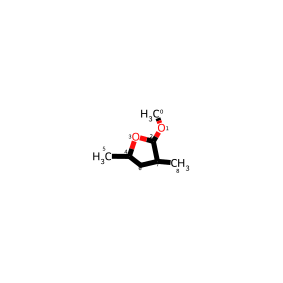 COC1OC(C)CC1C